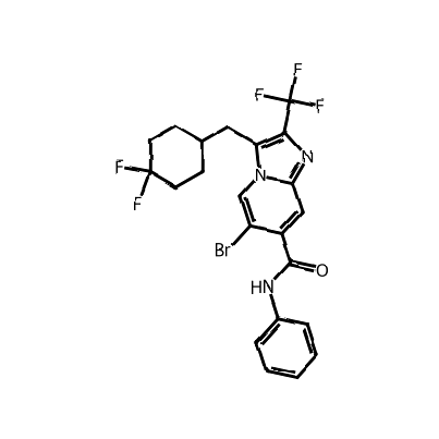 O=C(Nc1ccccc1)c1cc2nc(C(F)(F)F)c(CC3CCC(F)(F)CC3)n2cc1Br